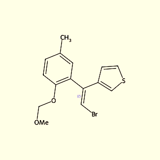 COCOc1ccc(C)cc1/C(=C/Br)c1ccsc1